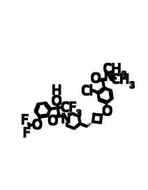 CN(C)C(=O)c1ccc(O[C@H]2C[C@@H](CC3CCN(C(=O)C(O)(c4cccc(OC(F)F)c4)C(F)(F)F)CC3)C2)cc1Cl